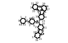 c1ccc(-c2ccc(N(c3ccc4sc5ccccc5c4c3)c3ccc4c5cccc6c7ccccc7n(c4c3)c65)cc2)cc1